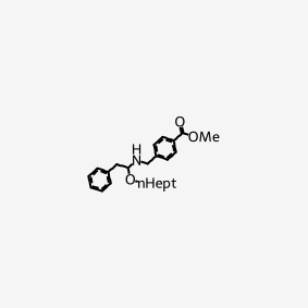 CCCCCCCOC(Cc1ccccc1)NCc1ccc(C(=O)OC)cc1